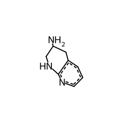 NC1CNc2ncccc2C1